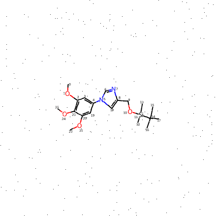 COc1cc(-n2cnc(CO[Si](C)(C)C(C)(C)C)c2)cc(OC)c1OC